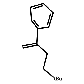 C=C(CCC(C)(C)C)c1ccccc1